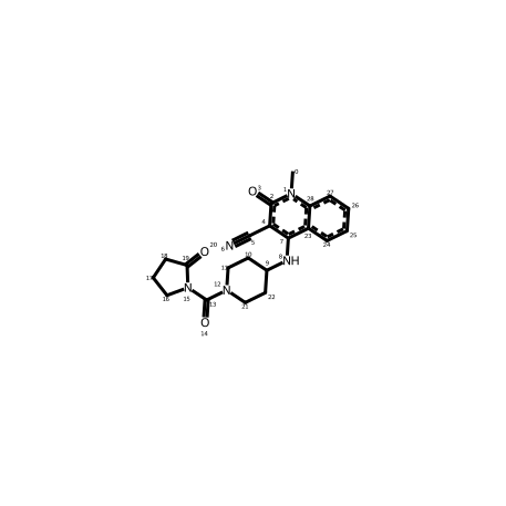 Cn1c(=O)c(C#N)c(NC2CCN(C(=O)N3CCCC3=O)CC2)c2ccccc21